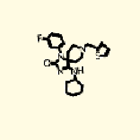 O=C1N=C(NC2CCCCC2)C2(CCN(Cc3cccs3)CC2)N1c1cccc(F)c1